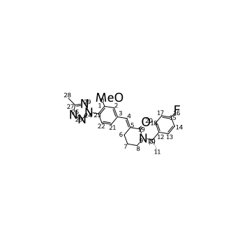 COc1cc(C=C2CCCN([C@@H](C)c3ccc(F)cc3)C2=O)ccc1-n1nnc(C)n1